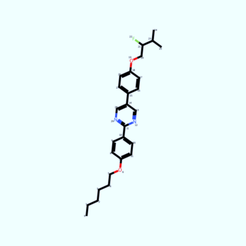 CCCCCCOc1ccc(-c2ncc(-c3ccc(OCC(F)C(C)C)cc3)cn2)cc1